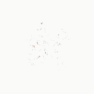 CC(C)(C)c1ccc(N2B3c4c(cc5c(sc6ccccc65)c4-c4ccc(-c5ccccc5)cc42)N(c2ccc(C(C)(C)C)cc2-c2ccccc2)c2ccc4c(oc5ccccc54)c23)cc1